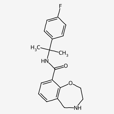 CC(C)(NC(=O)c1cccc2c1OCCNC2)c1ccc(F)cc1